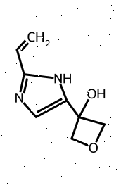 C=Cc1ncc(C2(O)COC2)[nH]1